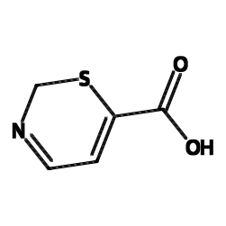 O=C(O)C1=CC=NCS1